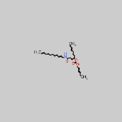 CCC=CCCOC(=O)OC(CCCCCCC)CCC(=O)NCCCCCCCCCCCC